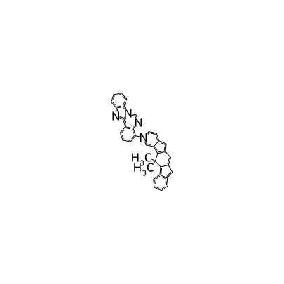 CC1(C)C2=c3ccccc3=CC2=Cc2cc3ccn(-c4cccc5c4ncn4c6ccccc6nc54)cc-3c21